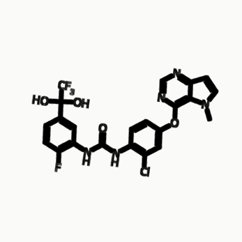 Cn1ccc2ncnc(Oc3ccc(NC(=O)Nc4cc(C(O)(O)C(F)(F)F)ccc4F)c(Cl)c3)c21